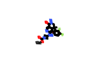 CCc1c(NC2CN(C(=O)OC(C)(C)C)C2)ncc2c1C(C)(c1cccc(F)c1F)CNC2=O